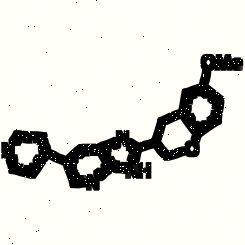 COc1ccc2c(c1)CC(c1nc3cc(-c4ccncc4)cnc3[nH]1)CO2